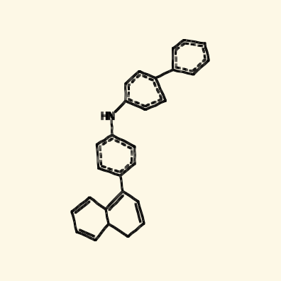 C1=CC2=C(c3ccc(Nc4ccc(-c5ccccc5)cc4)cc3)C=CCC2C=C1